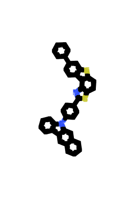 c1ccc(-c2ccc3c(c2)sc2ccc4sc(-c5ccc(-n6c7ccccc7c7cc8ccccc8cc76)cc5)nc4c23)cc1